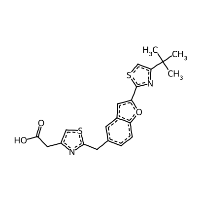 CC(C)(C)c1csc(-c2cc3cc(Cc4nc(CC(=O)O)cs4)ccc3o2)n1